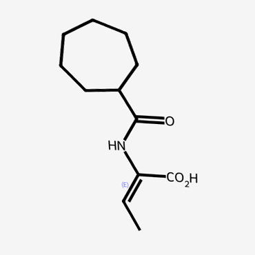 C/C=C(/NC(=O)C1CCCCCC1)C(=O)O